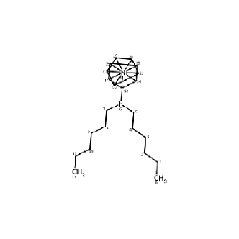 CCCCCCP(CCCCCC)[C]12[CH]3[CH]4[CH]5[CH]1[Ni]45321678[CH]2[CH]1[CH]6[CH]7[CH]28